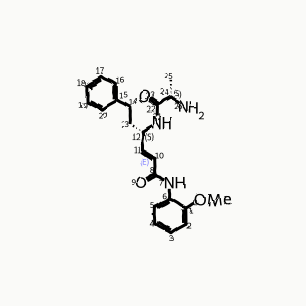 COc1ccccc1NC(=O)/C=C/[C@H](CCc1ccccc1)NC(=O)[C@H](C)N